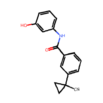 N#CC1(c2cccc(C(=O)Nc3cccc(O)c3)c2)CC1